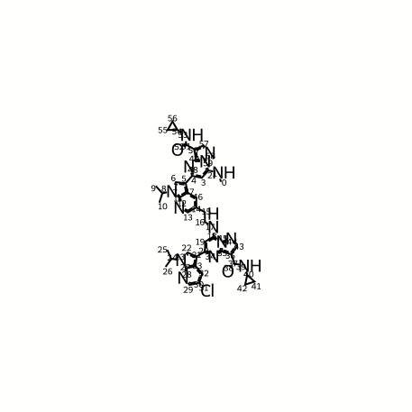 CNc1cc(-c2cn(C(C)C)c3ncc(CCNc4cc(-c5cn(C(C)C)c6ncc(Cl)cc56)nc5c(C(=O)NC6CC6)cnn45)cc23)nc2c(C(=O)NC3CC3)cnn12